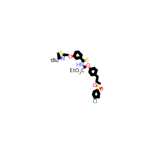 CCOC(=O)C(NC(=S)c1cccc(OCc2nc(C(C)(C)C)cs2)c1)Oc1ccc(CCCS(=O)(=O)c2ccc(Cl)cc2)cc1